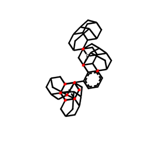 c1ccc(CP(C23CC4CC5C6CC(CC52)CC3C6C4)C23CC4CC5C6CC(CC52)CC3C6C4)c(CP(C2C3CC4C5CC6CC4C2C(C6)C5C3)C23CC4CC5C6CC(CC52)CC3C6C4)c1